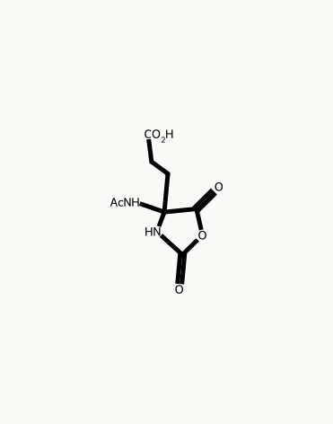 CC(=O)NC1(CCC(=O)O)NC(=O)OC1=O